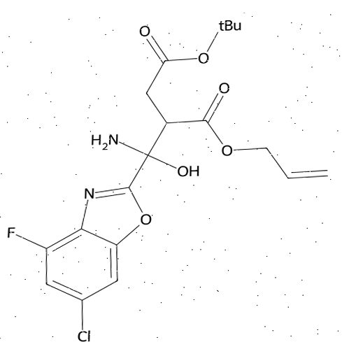 C=CCOC(=O)C(CC(=O)OC(C)(C)C)C(N)(O)c1nc2c(F)cc(Cl)cc2o1